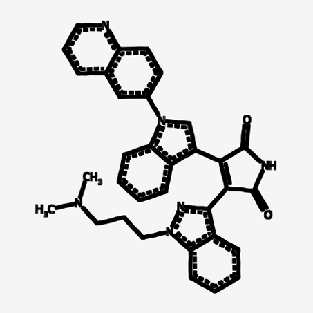 CN(C)CCCn1nc(C2=C(c3cn(-c4ccc5ncccc5c4)c4ccccc34)C(=O)NC2=O)c2ccccc21